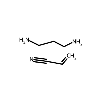 C=CC#N.NCCCN